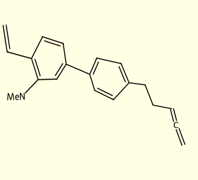 C=C=CCCc1ccc(-c2ccc(C=C)c(NC)c2)cc1